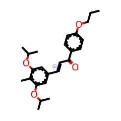 CCCOc1ccc(C(=O)/C=C/c2cc(OC(C)C)c(C)c(OC(C)C)c2)cc1